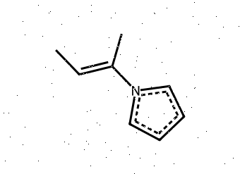 CC=C(C)n1cccc1